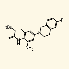 C=C(CC(C)(C)C)Nc1c(C)cc(N2CCc3cc(F)ccc3C2)cc1N